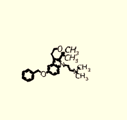 CN(C)CCn1c2c(c3cc(OCc4ccccc4)ccc31)CCOC2(C)C